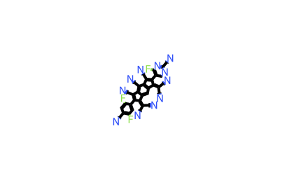 N#CC(C#N)=C1C(c2cc(F)c(C#N)cc2F)=C(C#N)c2c1cc1c(c2C#N)C(C#N)=C(c2cnc(C#N)nc2F)C1=C(C#N)C#N